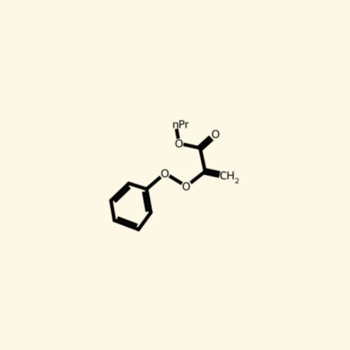 C=C(OOc1ccccc1)C(=O)OCCC